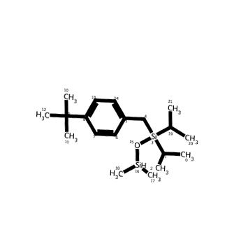 CC(C)[Si](Cc1ccc(C(C)(C)C)cc1)(O[SiH](C)C)C(C)C